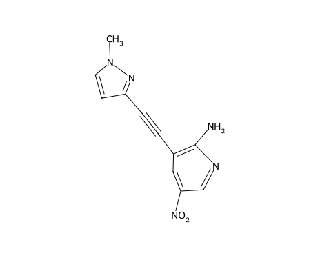 Cn1ccc(C#Cc2cc([N+](=O)[O-])cnc2N)n1